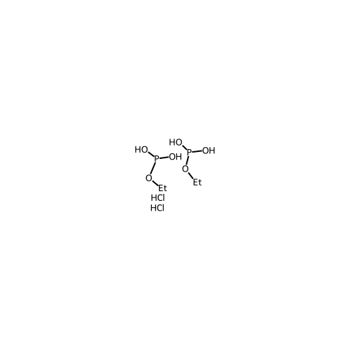 CCOP(O)O.CCOP(O)O.Cl.Cl